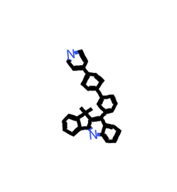 CC1(C)c2ccccc2-c2nc3ccccc3c(-c3cccc(-c4ccc(-c5ccncc5)cc4)c3)c21